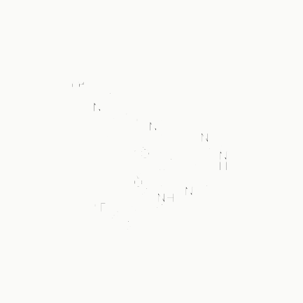 CNc1ncc(-c2nc3cc(N4CCOCC4)ccc3o2)c2cc(NC(=O)[C@@H]3C[C@@H]3F)ncc12